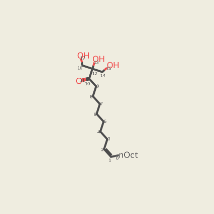 CCCCCCCC/C=C\CCCCCCCC(=O)C(O)(CO)CO